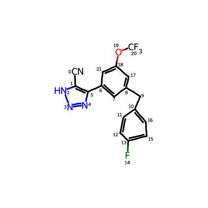 N#Cc1[nH]nnc1-c1cc(Cc2ccc(F)cc2)cc(OC(F)(F)F)c1